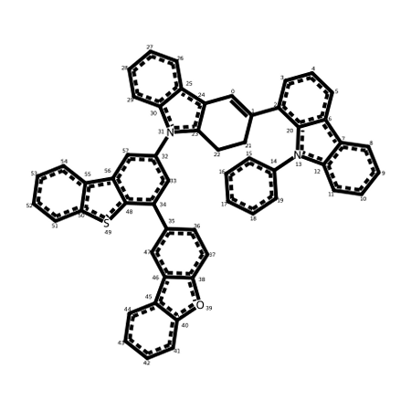 C1=C(c2cccc3c4ccccc4n(-c4ccccc4)c23)CCc2c1c1ccccc1n2-c1cc(-c2ccc3oc4ccccc4c3c2)c2sc3ccccc3c2c1